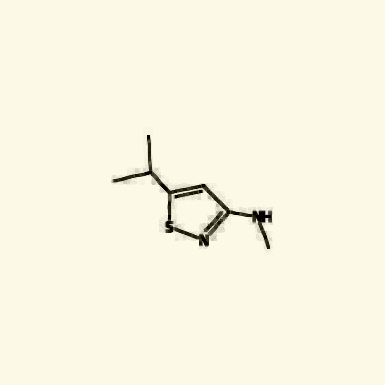 CNc1cc(C(C)C)sn1